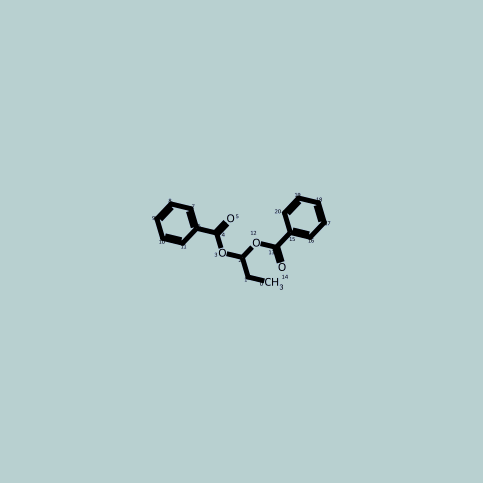 CCC(OC(=O)c1ccccc1)OC(=O)c1ccccc1